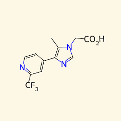 Cc1c(-c2ccnc(C(F)(F)F)c2)ncn1CC(=O)O